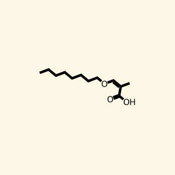 CCCCCCCCOC=C(C)C(=O)O